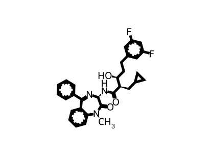 CN1C(=O)[C@@H](NC(=O)[C@H](CC2CC2)[C@@H](O)CCc2cc(F)cc(F)c2)N=C(c2ccccc2)c2ccccc21